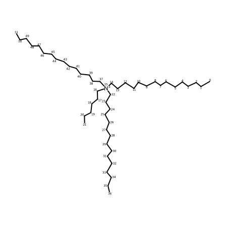 CCCCCCCCCCCCCCC[N+](CCCCCC)(CCCCCCCCCCCCCCC)CCCCCCCCCCCCCCC